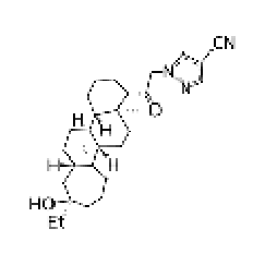 CC[C@@]1(O)CCC[C@@]2(C)[C@@H](CC[C@@H]3[C@@H]2CC[C@]2(C)[C@@H](C(=O)Cn4cc(C#N)cn4)CCC[C@@H]32)C1